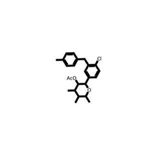 CC(=O)OC1C(c2ccc(Cl)c(Cc3ccc(C)cc3)c2)OC(C)C(C)C1C